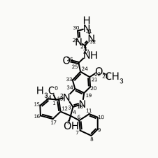 CCn1c(C(O)(c2ccccc2)c2ccccc2)nc2cc(OC)c(C(=O)Nc3nc[nH]n3)cc21